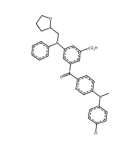 CN(c1ccc(Cl)cc1)c1ccc(C(=O)c2cc(C(=O)O)cc(N(CC3CCCO3)c3ccccc3)c2)nc1